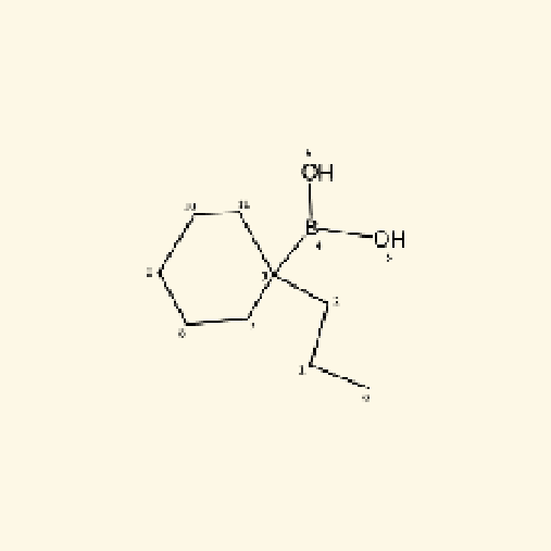 CCCC1(B(O)O)CCCCC1